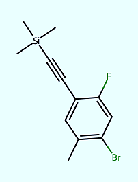 Cc1cc(C#C[Si](C)(C)C)c(F)cc1Br